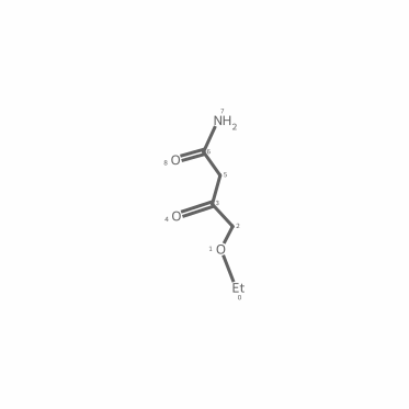 CCOCC(=O)CC(N)=O